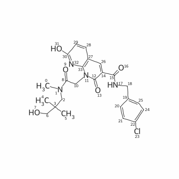 CN(CC(C)(C)CO)C(=O)Cn1c(=O)c(C(=O)NCc2ccc(Cl)cc2)cc2ccc(O)nc21